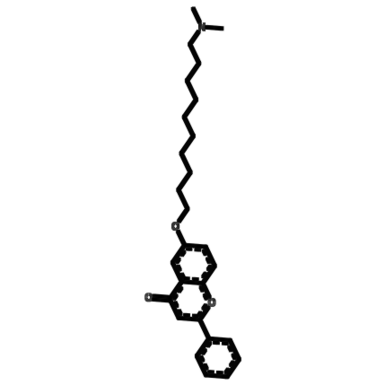 CN(C)CCCCCCCCCCOc1ccc2oc(-c3ccccc3)cc(=O)c2c1